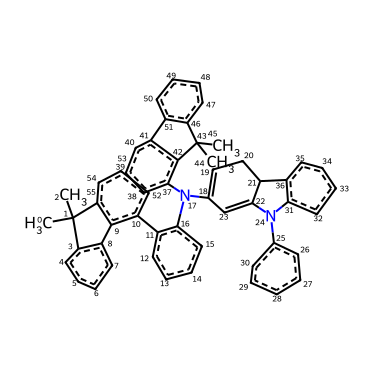 CC1(C)c2ccccc2-c2c(-c3ccccc3N(C3=CCC4C(=C3)N(c3ccccc3)c3ccccc34)c3cccc4c3C(C)(C)c3ccccc3-4)cccc21